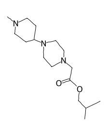 CC(C)COC(=O)CN1CCN(C2CCN(C)CC2)CC1